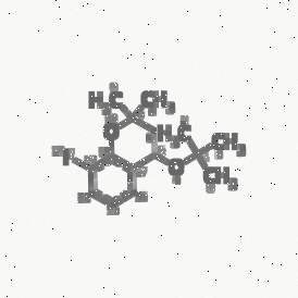 CC(C)(C)OC1CC(C)(C)Oc2c(F)cccc21